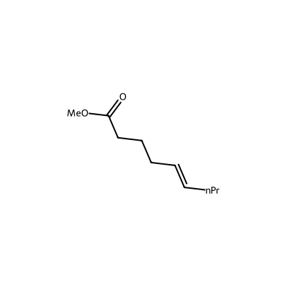 [CH2]CCC=CCCCC(=O)OC